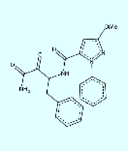 COc1cc(C(=O)NC(Cc2ccccc2)C(=O)C(N)=O)n(-c2ccccc2)n1